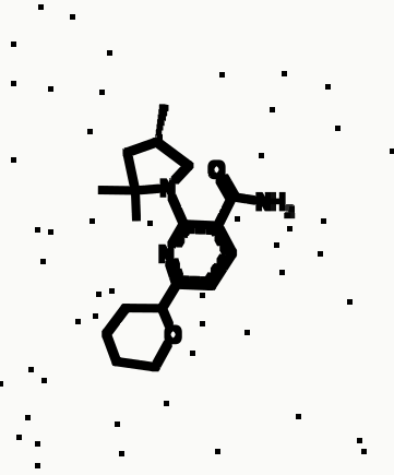 C[C@@H]1CN(c2nc(C3CCCCO3)ccc2C(N)=O)C(C)(C)C1